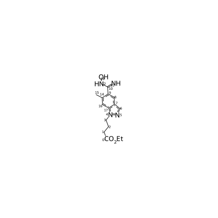 CCOC(=O)CCCn1ncc2cc(C(=N)NO)c(C)cc21